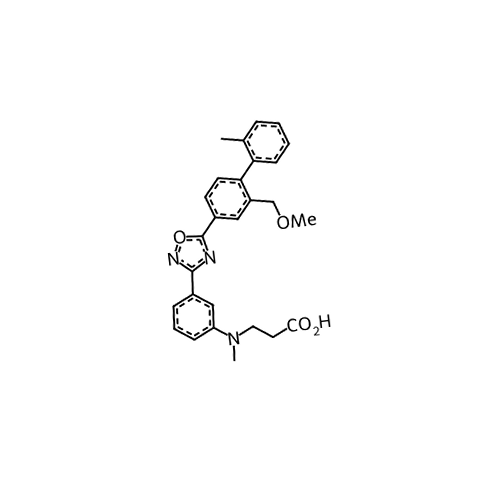 COCc1cc(-c2nc(-c3cccc(N(C)CCC(=O)O)c3)no2)ccc1-c1ccccc1C